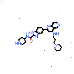 O=C(NC1CCNCC1)c1nc2cc(-c3cc(NCCCN4CCCCC4)c4cnccc4n3)ccc2[nH]1